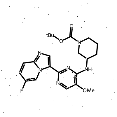 COc1cnc(-c2cnc3ccc(F)cn23)nc1NC1CCCN(C(=O)OC(C)(C)C)C1